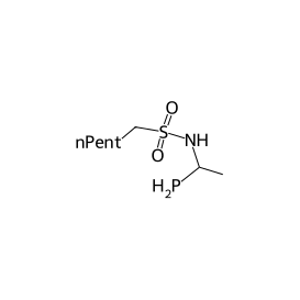 CCCCCCS(=O)(=O)NC(C)P